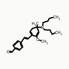 CCCCN(CCCC)C1(C)C=C(OC)C(/C=C/c2ccc(C=O)cc2)=CC1